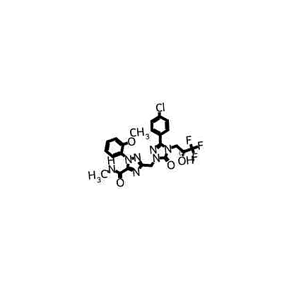 CNC(=O)c1nc(Cn2nc(-c3ccc(Cl)cc3)n(C[C@H](O)C(F)(F)F)c2=O)nn1-c1ccccc1OC